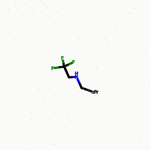 CCCCNCC(F)(F)F